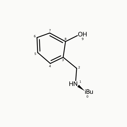 CC[C@H](C)NCc1ccccc1O